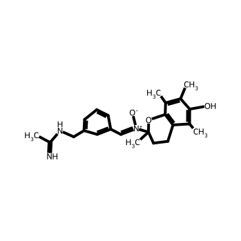 CC(=N)NCc1cccc(/C=[N+](\[O-])C2(C)CCc3c(C)c(O)c(C)c(C)c3O2)c1